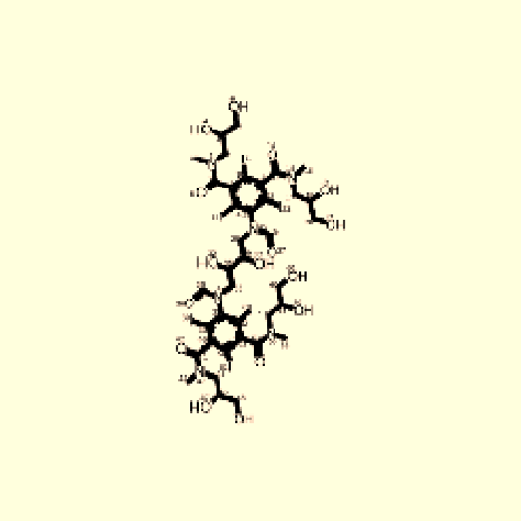 CN(CC(O)CO)C(=O)c1c(I)c(C(=O)N(C)CC(O)CO)c(I)c(N(C=O)CC(O)C(O)CN(C=O)c2c(I)c(C(=O)N(C)CC(O)CO)c(I)c(C(=O)N(C)CC(O)CO)c2I)c1I